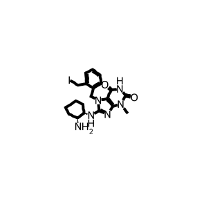 Cn1c(=O)[nH]c(=O)c2c1nc(N[C@H]1CCCC[C@H]1N)n2Cc1ccccc1CI